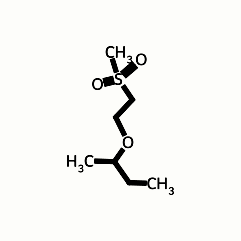 CCC(C)OCCS(C)(=O)=O